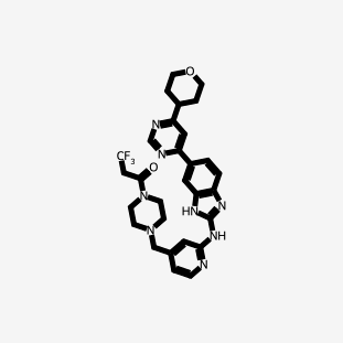 O=C(CC(F)(F)F)N1CCN(Cc2ccnc(Nc3nc4ccc(-c5cc(C6CCOCC6)ncn5)cc4[nH]3)c2)CC1